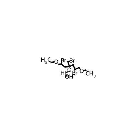 CCOCC(Br)CC(CBr)(CC(Br)COCC)OPO